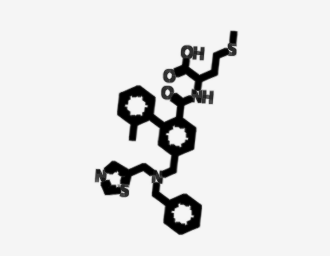 CSCCC(NC(=O)c1ccc(CN(Cc2ccccc2)Cc2cncs2)cc1-c1ccccc1C)C(=O)O